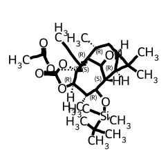 CC(=O)O[C@H]1C(C)=C[C@]23C(O)[C@@H](C(O[Si](C)(C)C(C)(C)C)[C@H](C)[C@H]4OC(=O)O[C@@]412)[C@H]1[C@@H](C[C@H]3C)C1(C)C